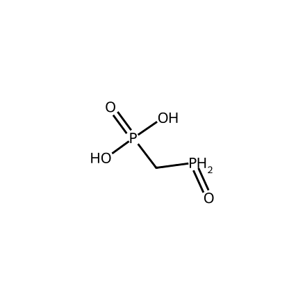 O=[PH2]CP(=O)(O)O